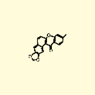 Cc1ccc2c(=O)c3c(ccc4cc5c(cc43)OCO5)oc2c1